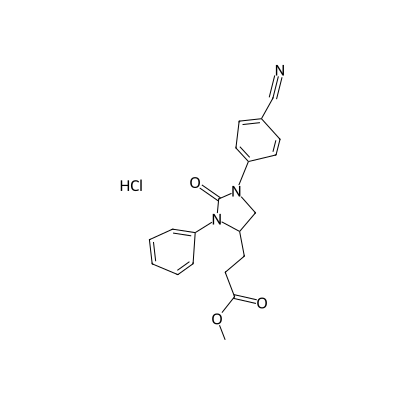 COC(=O)CCC1CN(c2ccc(C#N)cc2)C(=O)N1c1ccccc1.Cl